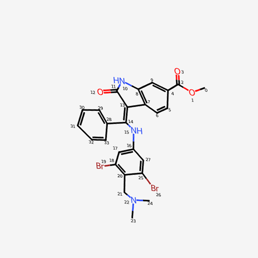 COC(=O)c1ccc2c(c1)NC(=O)/C2=C(/Nc1cc(Br)c(CN(C)C)c(Br)c1)c1ccccc1